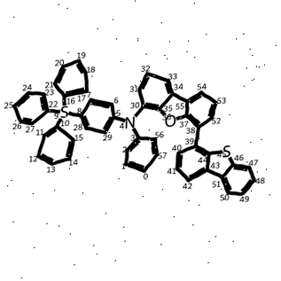 c1ccc(N(c2ccc(S(c3ccccc3)(c3ccccc3)c3ccccc3)cc2)c2cccc3c2oc2c(-c4cccc5c4sc4ccccc45)cccc23)cc1